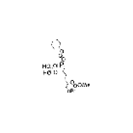 CCCC=C(CCCCOOOOC1CCCCC1)OOOC.O=P(O)(O)O